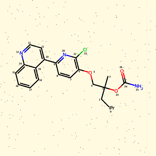 CC(C)CC(C)(COc1ccc(-c2ccnc3ccccc23)nc1Cl)OC(N)=O